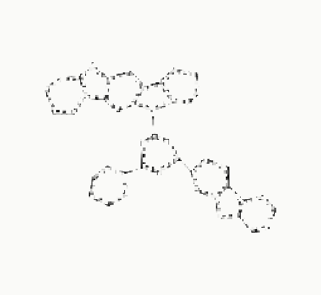 c1ccc(-c2nc(-c3ccc4c(c3)oc3ccccc34)nc(-n3c4ccccc4c4cc5sc6ccccc6c5cc43)n2)cc1